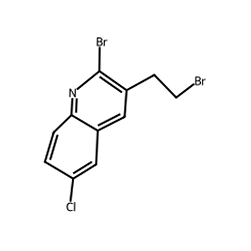 Clc1ccc2nc(Br)c(CCBr)cc2c1